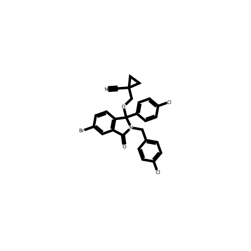 N#CC1(COC2(c3ccc(Cl)cc3)c3ccc(Br)cc3C(=O)N2Cc2ccc(Cl)cc2)CC1